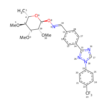 CO[C@@H]1[C@@H](OC)[C@H](C)O[C@@H](O/N=C/c2ccc(-c3ncn(-c4ccc(C(F)(F)F)cc4)n3)cc2)[C@@H]1OC